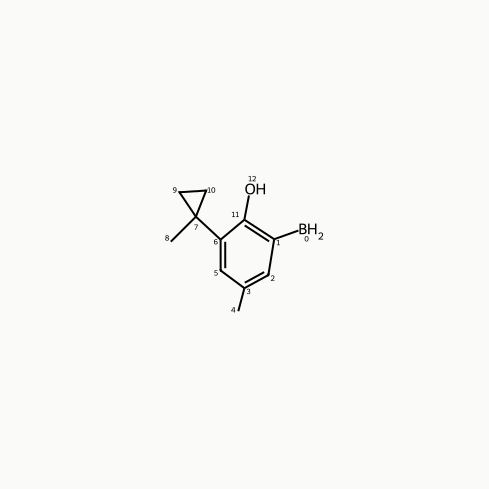 Bc1cc(C)cc(C2(C)CC2)c1O